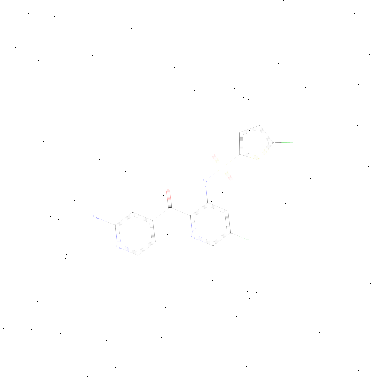 Nc1cc(C(=O)c2ncc(Cl)cc2NS(=O)(=O)c2ccc(Cl)s2)ccn1